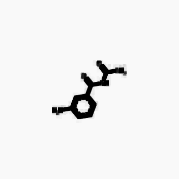 NC(=O)NC(=O)c1cccc(N)c1